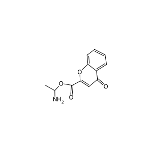 CC(N)OC(=O)c1cc(=O)c2ccccc2o1